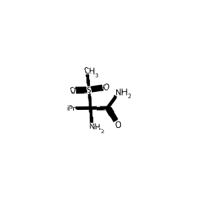 CC(C)C(N)(C(N)=O)S(C)(=O)=O